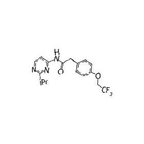 CC(C)c1nccc(NC(=O)Cc2ccc(OCC(F)(F)F)cc2)n1